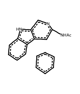 CC(=O)Nc1cc2c(cn1)[nH]c1ccccc12.c1ccccc1